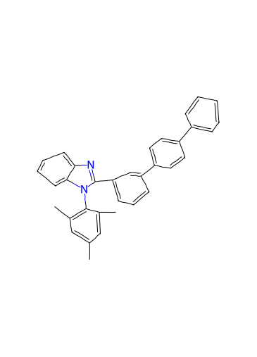 Cc1cc(C)c(-n2c(-c3cccc(-c4ccc(-c5ccccc5)cc4)c3)nc3ccccc32)c(C)c1